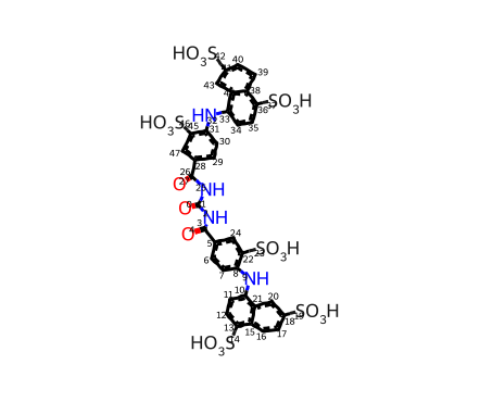 O=C(NC(=O)c1ccc(Nc2ccc(S(=O)(=O)O)c3ccc(S(=O)(=O)O)cc23)c(S(=O)(=O)O)c1)NC(=O)c1ccc(Nc2ccc(S(=O)(=O)O)c3ccc(S(=O)(=O)O)cc23)c(S(=O)(=O)O)c1